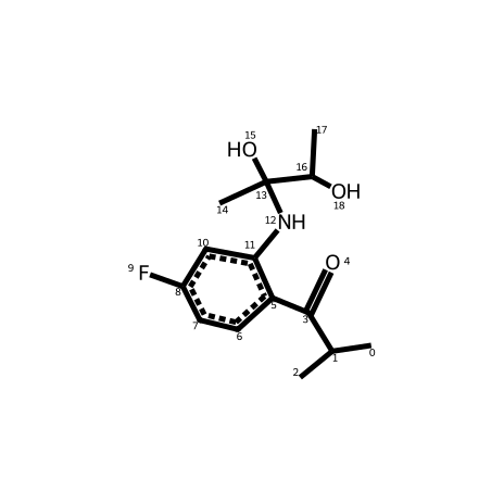 CC(C)C(=O)c1ccc(F)cc1NC(C)(O)C(C)O